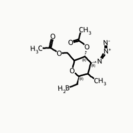 BC[C@H]1OC(COC(C)=O)[C@H](OC(C)=O)[C@H](N=[N+]=[N-])C1C